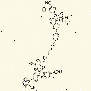 Cc1ncoc1-c1ccc(CN(C(=O)C(NC(=O)COCCCCOc2ccc(-c3ccc(N4C(=S)N(c5ccc(C#N)c(Cl)c5)C(=O)C4(C)C)c(F)c3)cc2)C(C)(C)C)C(=O)[C@@H]2C[C@@H](O)CN2)cc1